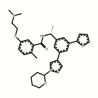 Cc1ccc(OCCN(C)C)cc1C(=O)N[C@H](C)c1cc(-c2cnn(C3CCCCO3)c2)cc(-c2cccs2)c1